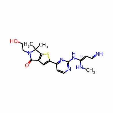 CN/C(=C\C=N)Nc1nccc(-c2cc3c(s2)C(C)(C)N(CCO)C3=O)n1